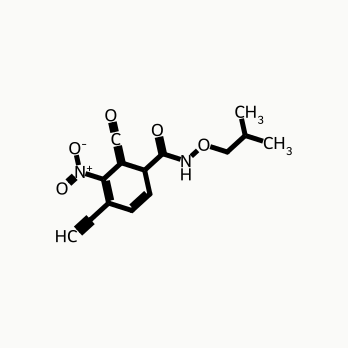 C#CC1=C([N+](=O)[O-])C(=C=O)C(C(=O)NOCC(C)C)C=C1